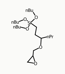 CCCCO[Si](CCC(CCC)OCC1CO1)(OCCCC)OCCCC